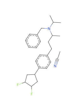 CC#N.CC(C)N(Cc1ccccc1)C(C)CCc1ccc(C2CC(F)C(F)C2)cc1